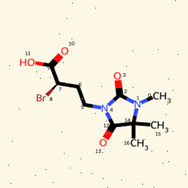 CN1C(=O)N(CC[C@@H](Br)C(=O)O)C(=O)C1(C)C